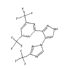 FC(F)(F)c1cc(-c2n[nH]cc2-n2cnc(C(F)(F)F)n2)cc(C(F)(F)F)c1